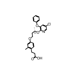 Cc1cc(OCC[C@H](C)Oc2ncc(Cl)cc2Oc2ccccc2)ccc1CCC(=O)O